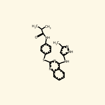 Cc1cc(Nc2nc(Sc3ccc(NC(=O)C(C)C)cc3)nc3ccccc23)[nH]n1